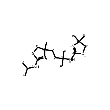 CC(C)NC1=NC(C)(CCC(C)(C)NC2=NC(C)(C)CO2)CS1